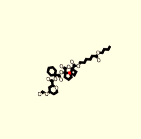 CCCCOC(=O)CCCCCOC(=O)C1(OC(=O)C2(OC(=O)C3(OC(=O)C4CC(O[C]=O)CCO4)CCCCC3)CCCC2)CCC1